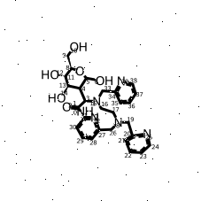 NC(=O)C(C1C(O)O[C@H](CO)[C@@H](O)[C@@H]1O)N(CCN(Cc1ccccn1)Cc1ccccn1)Cc1ccccn1